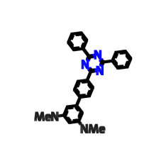 CNc1cc(NC)cc(-c2ccc(-c3nc(-c4ccccc4)nc(-c4ccccc4)n3)cc2)c1